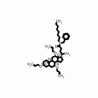 C=CCO[C@@H]1CCC2(C)C(C1)C[C@@H](OCC=C)C1[C@@H]2C[C@H](OCC=C)C2(C)[C@@H](C(C)CCC(=O)N(CCCCCCCC)Cc3ccccc3)CC[C@@H]12